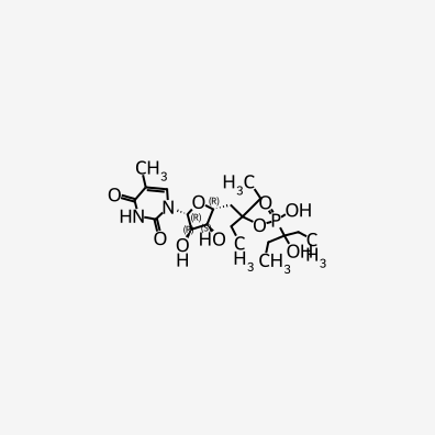 CCC(CC)(C[C@H]1O[C@@H](n2cc(C)c(=O)[nH]c2=O)[C@H](O)[C@@H]1O)OP(=O)(O)C(O)(CC)CC